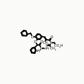 CCCN(CCC)C(=O)C(Oc1cc(/C=C(\C)C(=O)N(CC(=O)O)C(C)=S)ccc1OCc1ccccc1)c1ccccc1